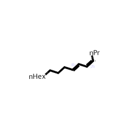 CCC/[C]=C\C=C\CCCCCCCCC